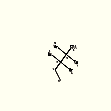 CCC(Br)(Br)C(O)(Br)Br